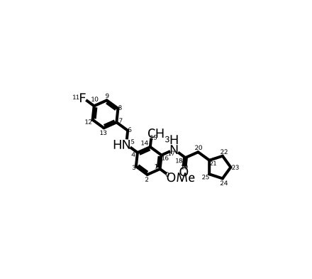 COc1ccc(NCc2ccc(F)cc2)c(C)c1NC(=O)CC1CCCC1